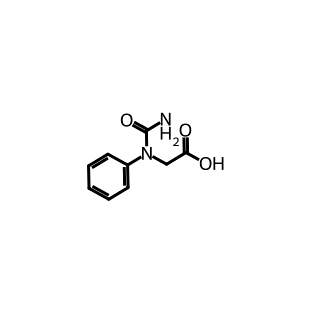 NC(=O)N(CC(=O)O)c1ccccc1